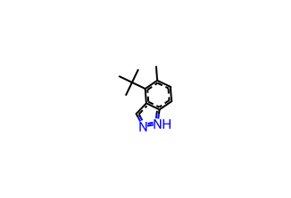 Cc1ccc2[nH]ncc2c1C(C)(C)C